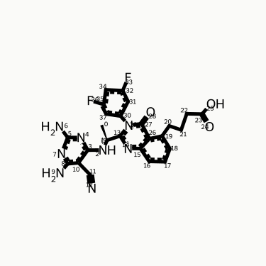 C[C@H](Nc1nc(N)nc(N)c1C#N)c1nc2cccc(CCCC(=O)O)c2c(=O)n1-c1cc(F)cc(F)c1